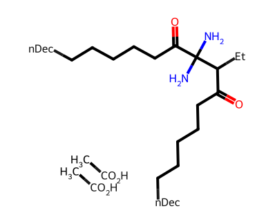 CC(=O)O.CC(=O)O.CCCCCCCCCCCCCCCC(=O)C(CC)C(N)(N)C(=O)CCCCCCCCCCCCCCC